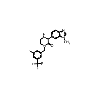 Cn1cnc2ccc(C3NCCN(Cc4cc(F)cc(C(F)(F)F)c4)C3=O)cc21